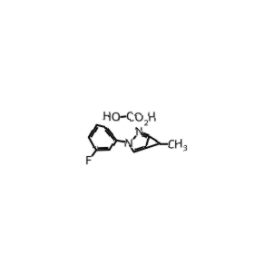 CC1c2cn(-c3cccc(F)c3)nc21.O=C(O)O